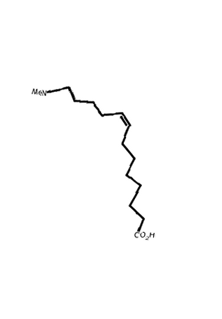 CNCCCC/C=C\CCCCCCC(=O)O